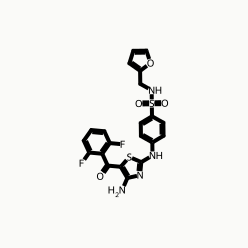 Nc1nc(Nc2ccc(S(=O)(=O)NCc3ccco3)cc2)sc1C(=O)c1c(F)cccc1F